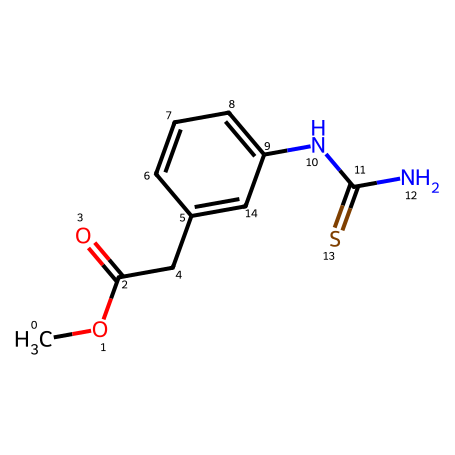 COC(=O)Cc1cccc(NC(N)=S)c1